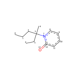 CCCC(C)(CC)n1ccccc1=O